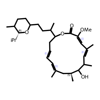 CO/C1=C\C(C)=C\C(C)C(O)[C@@H](C)C/C(C)=C/C=C/CC(C(C)CCC2CCC(C)[C@@H](C(C)C)O2)OC1=O